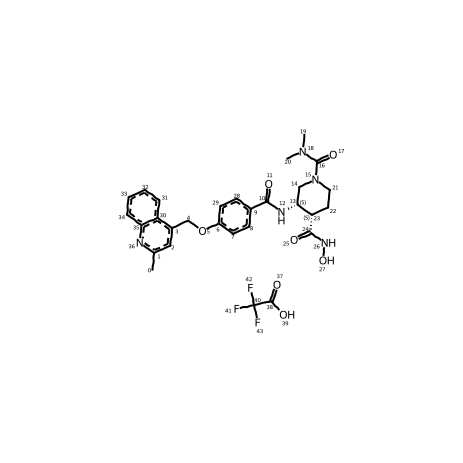 Cc1cc(COc2ccc(C(=O)N[C@@H]3CN(C(=O)N(C)C)CC[C@@H]3C(=O)NO)cc2)c2ccccc2n1.O=C(O)C(F)(F)F